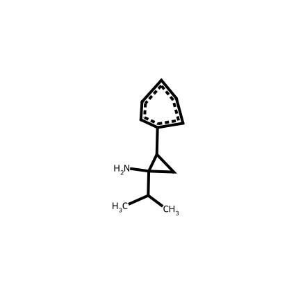 CC(C)C1(N)CC1c1ccccc1